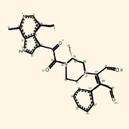 Cc1ncc(C)c2c(C(=O)C(=O)N3CCN(/C(C=O)=C(/C=O)c4ccccc4)C[C@H]3C)c[nH]c12